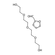 O=Cc1ccco1.OCCOCCOCCOCCO